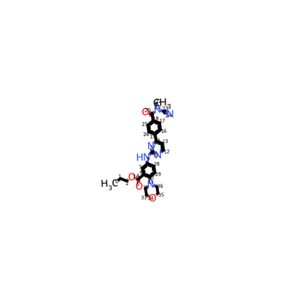 CCCOC(=O)c1cc(Nc2nccc(-c3ccc(C(=O)N(C)C#N)cc3)n2)ccc1N1CCOCC1